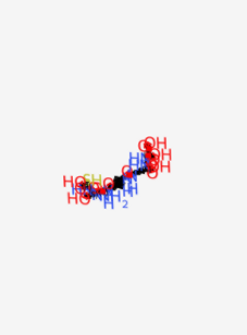 N[C@@H](CNC(=O)Cc1ccc(CNC(=O)NCCCC[C@H](NC(=O)N[C@@H](CCC(=O)O)C(=O)O)C(=O)O)cc1)C(=O)N[C@@H](CC(=O)O)C(=O)N[C@@H](CS)C(=O)O